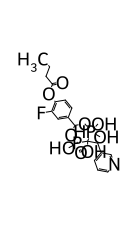 CCCC(=O)Oc1ccc(C2OP(=O)(O)C(O)(Cc3cccnc3)[PH](O)(O)O2)cc1F